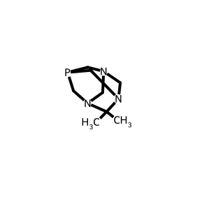 CC1(C)N2CN3CN1CP(C3)C2